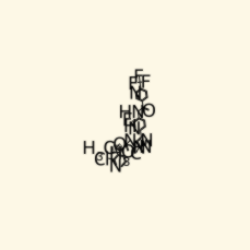 C[C@@H](OC(=O)Nc1c(-c2ccc(NC(=O)c3ccc(C(F)(F)F)nc3)c(F)n2)nnn1C)c1cccnc1Cl